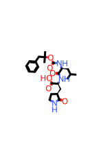 CC(C)C[C@H](NC(=O)OC(C)(C)Cc1ccccc1)C(=O)N[C@@H](C[C@@H]1CCNC1=O)C(=O)O